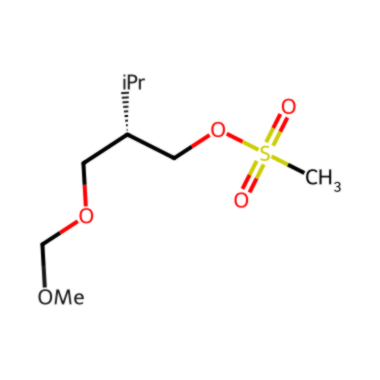 COCOC[C@@H](COS(C)(=O)=O)C(C)C